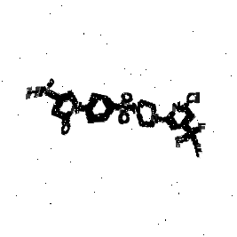 CNC1CC(=O)N(c2ccc(S(=O)(=O)N3CCN(c4cc(C(F)(F)F)cc(Cl)n4)CC3)cc2)C1